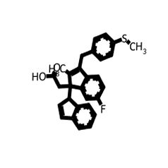 CSc1ccc(CC2=C(C)C(CC(=O)O)(C3C=Cc4ccccc43)c3cc(F)ccc32)cc1